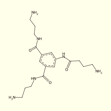 NCCCNC(=O)c1cc(NC(=O)CCCN)cc(C(=O)NCCCN)c1